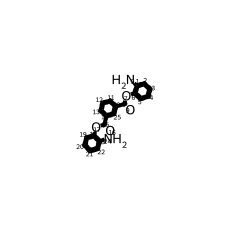 Nc1ccccc1OC(=O)c1cccc(C(=O)Oc2ccccc2N)c1